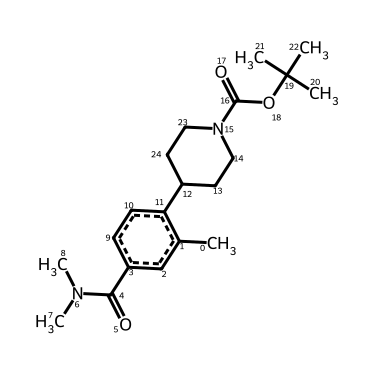 Cc1cc(C(=O)N(C)C)ccc1C1CCN(C(=O)OC(C)(C)C)CC1